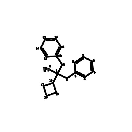 CC(C)C(Cc1ccccc1)(Cc1ccccc1)C1CCC1